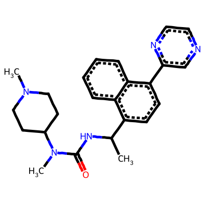 CC(NC(=O)N(C)C1CCN(C)CC1)c1ccc(-c2cnccn2)c2ccccc12